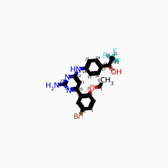 CCOc1ccc(Br)cc1-c1cc(Nc2ccc(C(O)C(F)(F)F)cc2)nc(N)n1